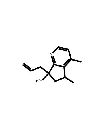 C=CCC1(CCC)CC(C)c2c(C)ccnc21